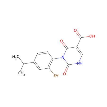 CC(C)c1ccc(-n2c(=O)[nH]cc(C(=O)O)c2=O)c(S)c1